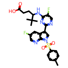 Cc1ccc(S(=O)(=O)n2cc(-c3ncc(F)c(NC(CCC(=O)O)C(C)(C)C)n3)c3cc(F)cnc32)cc1